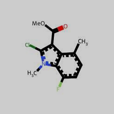 COC(=O)c1c(Cl)n(C)c2c(F)ccc(C)c12